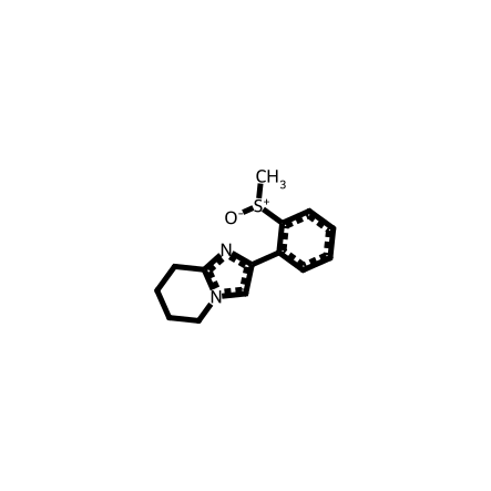 C[S+]([O-])c1ccccc1-c1cn2c(n1)CCCC2